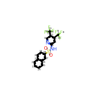 O=S(=O)(Nc1cc(C(F)(F)F)c(C(F)(F)F)cn1)c1ccc2ccccc2c1